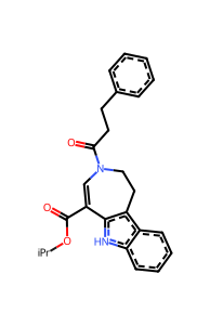 CC(C)OC(=O)C1=CN(C(=O)CCc2ccccc2)CCc2c1[nH]c1ccccc21